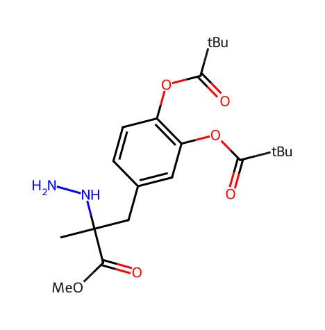 COC(=O)C(C)(Cc1ccc(OC(=O)C(C)(C)C)c(OC(=O)C(C)(C)C)c1)NN